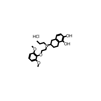 CCCN(CCOc1c(OC)cccc1OC)C1CCc2c(ccc(O)c2O)C1.Cl